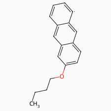 CCCCOc1ccc2cc3[c]cccc3cc2c1